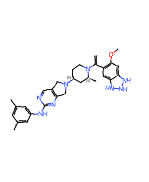 C=C(c1cc2c(cc1OC)NNN2)N1CC[C@H](N2Cc3cnc(Nc4cc(C)cc(C)c4)nc3C2)C[C@@H]1C